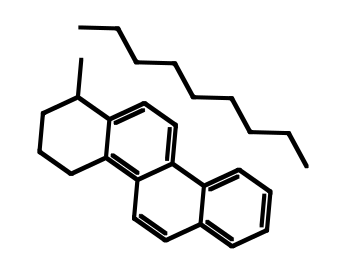 CC1CCCc2c1ccc1c2ccc2ccccc21.CCCCCCCCC